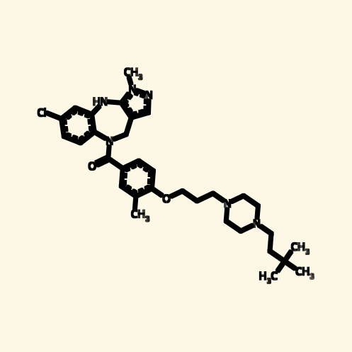 Cc1cc(C(=O)N2Cc3cnn(C)c3Nc3cc(Cl)ccc32)ccc1OCCCN1CCN(CCC(C)(C)C)CC1